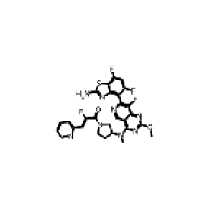 COc1nc(N(C)C2CCN(C(=O)/C(F)=C/c3ccccn3)C2)c2cnc(-c3c(F)cc(F)c4sc(N)nc34)c(F)c2n1